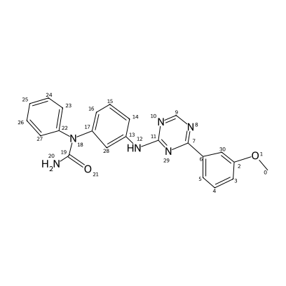 COc1cccc(-c2ncnc(Nc3cccc(N(C(N)=O)c4ccccc4)c3)n2)c1